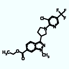 CCOC(=O)c1ccc2c(C3CCN(c4ncc(C(F)(F)F)cc4Cl)C3)nn(C)c2c1